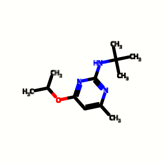 Cc1cc(OC(C)C)nc(NC(C)(C)C)n1